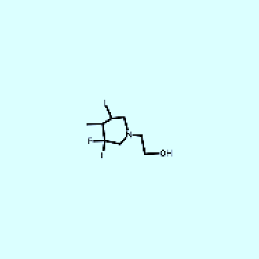 CC1C(I)CN(CCO)CC1(F)F